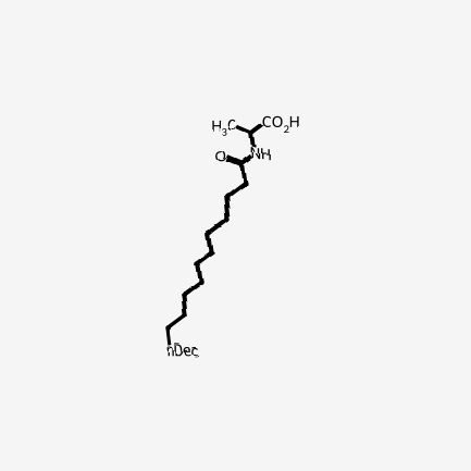 CCCCCCCCCCCCCCCCCCCCC(=O)NC(C)C(=O)O